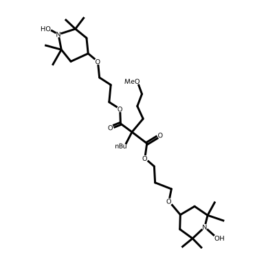 CCCCC(CCCOC)(C(=O)OCCCOC1CC(C)(C)N(O)C(C)(C)C1)C(=O)OCCCOC1CC(C)(C)N(O)C(C)(C)C1